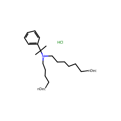 CCCCCCCCCCCCCCCCN(CCCCCCCCCCCCCC)C(C)(C)c1ccccc1.Cl